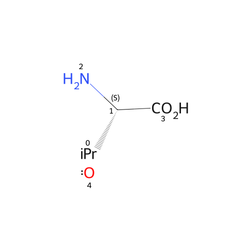 CC(C)[C@H](N)C(=O)O.[O]